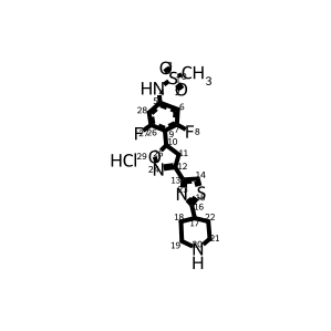 CS(=O)(=O)Nc1cc(F)c(C2CC(c3csc(C4CCNCC4)n3)=NO2)c(F)c1.Cl